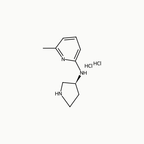 Cc1cccc(N[C@H]2CCNC2)n1.Cl.Cl